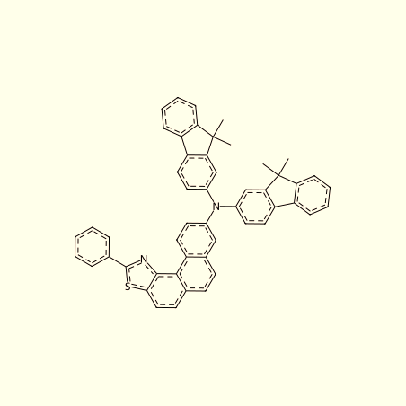 CC1(C)c2ccccc2-c2ccc(N(c3ccc4c(c3)C(C)(C)c3ccccc3-4)c3ccc4c(ccc5ccc6sc(-c7ccccc7)nc6c54)c3)cc21